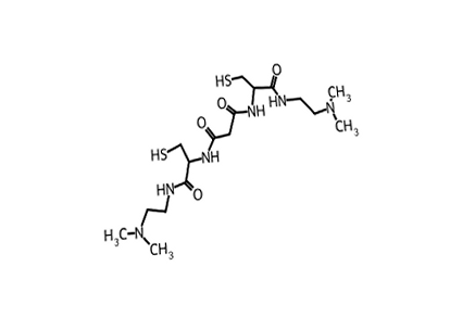 CN(C)CCNC(=O)C(CS)NC(=O)CC(=O)NC(CS)C(=O)NCCN(C)C